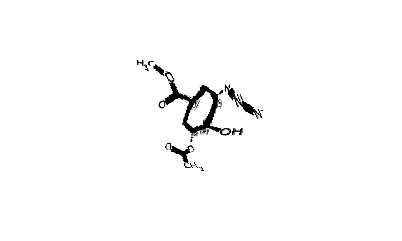 COC(=O)[C@H]1C[C@H](N=[N+]=[N-])[C@@H](O)[C@H](OC(C)=O)C1